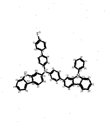 Fc1ccc(-c2ccc(N(c3ccc(-c4ccc5c6ccccc6n(-c6ccccc6)c5c4)cc3)c3ccc4c(c3)sc3ccccc34)cc2)cc1